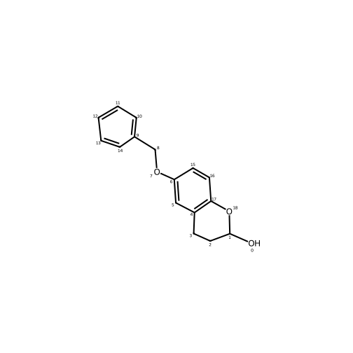 OC1CCc2cc(OCc3ccccc3)ccc2O1